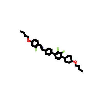 CCCCOc1ccc(/C=C/c2ccc(-c3ccc(C4CCC(OCCCC)CC4)c(F)c3F)cc2)c(F)c1